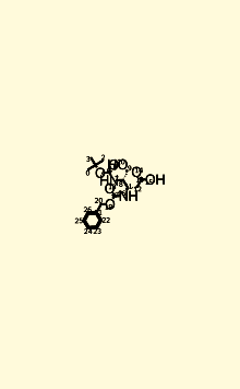 CC(C)(C)OC(=O)N[C@H](CO)[C@H](CC(=O)O)NC(=O)OCc1ccccc1